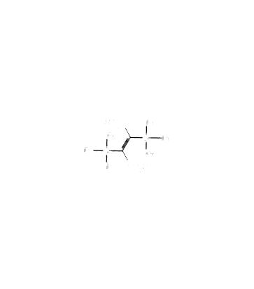 CC(C)[Si](C(C(=O)O)=C(C(=O)O)[Si](C(C)C)(C(C)C)C(C)C)(C(C)C)C(C)C